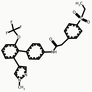 CCS(=O)(=O)c1ccc(CC(=O)Nc2ccc(-c3c(OC(F)(F)F)cccc3-c3cnn(C)c3)cc2)cc1